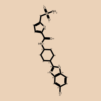 NS(=O)(=O)Cc1ccc(C(=O)NC2CCC(c3nc4cc(Cl)ccc4o3)CC2)o1